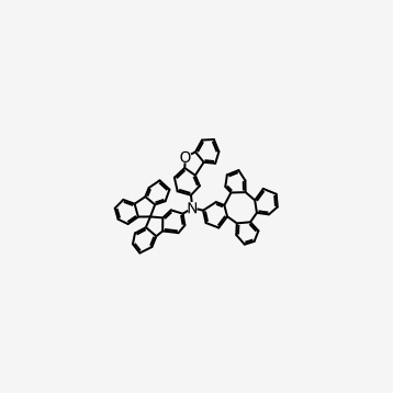 c1ccc2c(c1)-c1ccccc1-c1ccc(N(c3ccc4c(c3)C3(c5ccccc5-c5ccccc53)c3ccccc3-4)c3ccc4oc5ccccc5c4c3)cc1-c1ccccc1-2